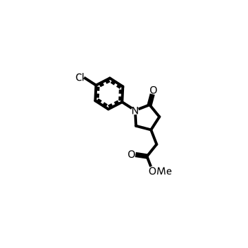 COC(=O)CC1CC(=O)N(c2ccc(Cl)cc2)C1